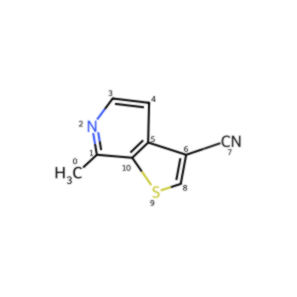 Cc1nccc2c(C#N)csc12